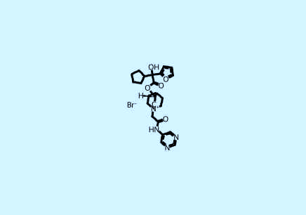 O=C(C[N+]12CCC(CC1)[C@@H](OC(=O)C(O)(c1ccco1)C1CCCC1)C2)Nc1cncnc1.[Br-]